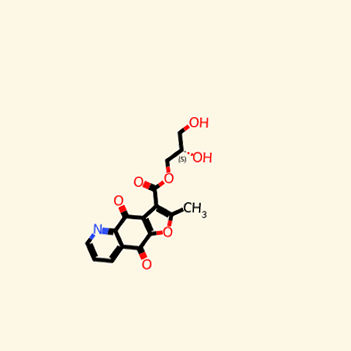 Cc1oc2c(c1C(=O)OC[C@@H](O)CO)C(=O)c1ncccc1C2=O